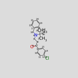 CC(C)(C)N(CCC(=O)c1ccc(Cl)cc1)Cc1ccccc1